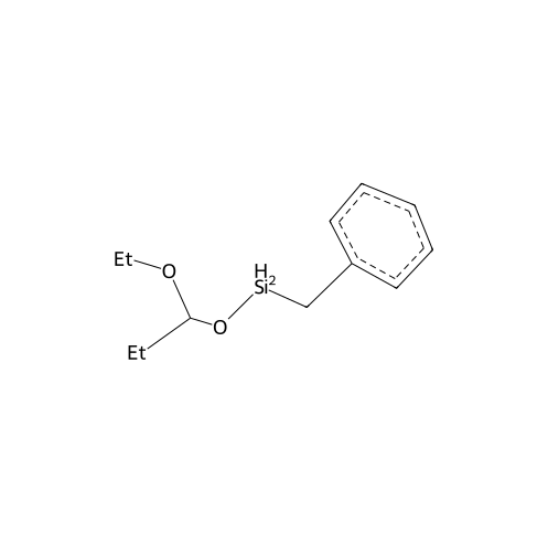 CCOC(CC)O[SiH2]Cc1ccccc1